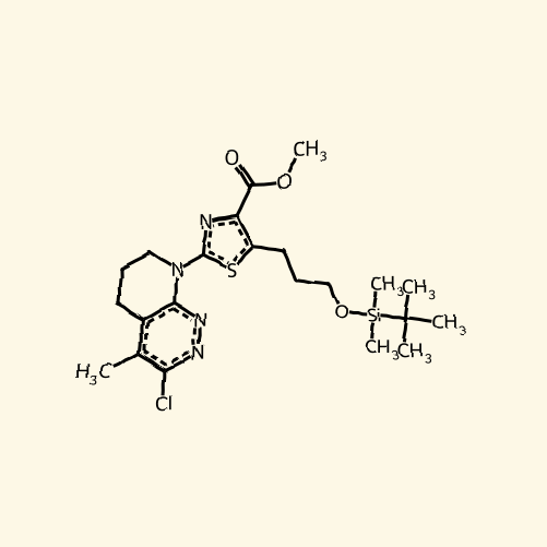 COC(=O)c1nc(N2CCCc3c2nnc(Cl)c3C)sc1CCCO[Si](C)(C)C(C)(C)C